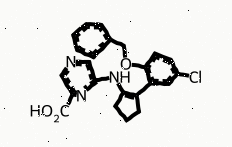 O=C(O)c1cncc(NC2=C(c3cc(Cl)ccc3OCc3ccccc3)CCC2)n1